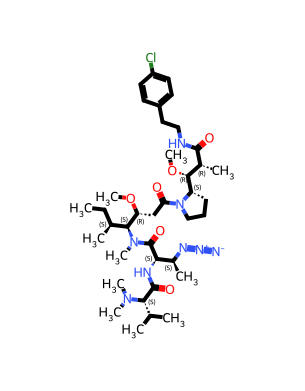 CC[C@H](C)[C@@H]([C@@H](CC(=O)N1CCC[C@H]1[C@H](OC)[C@@H](C)C(=O)NCCc1ccc(Cl)cc1)OC)N(C)C(=O)[C@@H](NC(=O)[C@H](C(C)C)N(C)C)[C@H](C)N=[N+]=[N-]